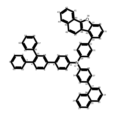 c1ccc(-c2ccc(-c3ccc(N(c4ccc(-c5cccc6ccccc56)cc4)c4ccc(-c5cccc6oc7c8ccccc8ccc7c56)cc4)cc3)cc2-c2ccccc2)cc1